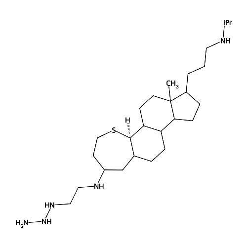 CC(C)NCCCC1CCC2C3CCC4CC(NCCNNN)CCS[C@H]4C3CCC12C